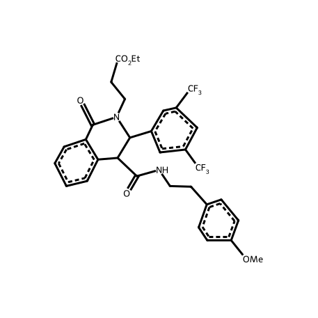 CCOC(=O)CCN1C(=O)c2ccccc2C(C(=O)NCCc2ccc(OC)cc2)C1c1cc(C(F)(F)F)cc(C(F)(F)F)c1